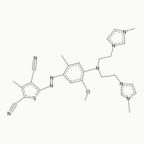 COc1cc(/N=N/c2sc(C#N)c(C)c2C#N)c(C)cc1N(CCn1cc[n+](C)c1)CCn1cc[n+](C)c1